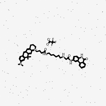 CN(C)c1ccc2c(c1)C(C)(C)c1cc3c(cc1=C2)CCC[N+]=3CCCC(=O)NCCCCCCNCC(=O)Nc1ccc2[nH]c(=O)c3ccccc3c2c1.O=C([O-])C(F)(F)F